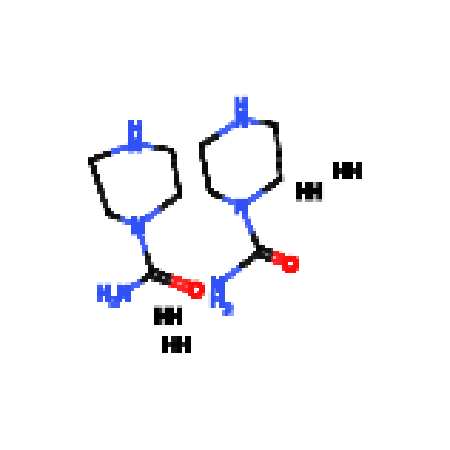 NC(=O)N1CCNCC1.NC(=O)N1CCNCC1.[HH].[HH].[HH].[HH]